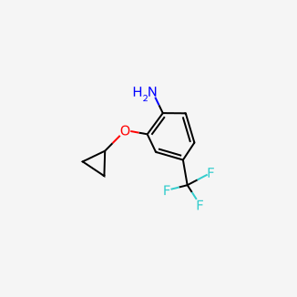 Nc1ccc(C(F)(F)F)cc1OC1CC1